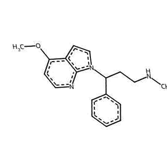 CNCCC(c1ccccc1)n1ccc2c(OC)ccnc21